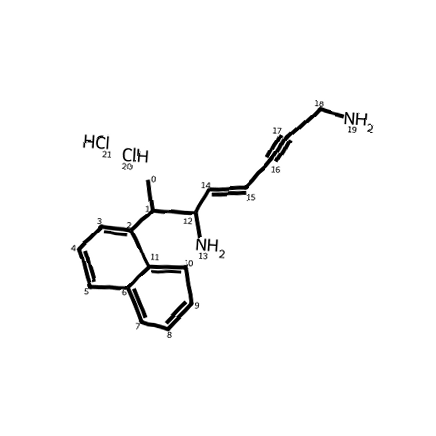 CC(c1cccc2ccccc12)C(N)C=CC#CCN.Cl.Cl